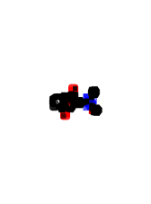 COC1=Cc2ccccccc3c(c2C2OC(c4ccc(OC)cc4)(c4ccc(-c5nc(-c6ccccc6)nc(-c6ccccc6)n5)cc4)CCC12)CCC=C3